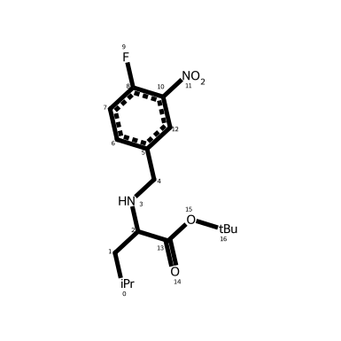 CC(C)CC(NCc1ccc(F)c([N+](=O)[O-])c1)C(=O)OC(C)(C)C